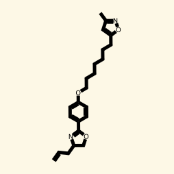 C=CCC1COC(c2ccc(OCCCCCCCc3cc(C)no3)cc2)=N1